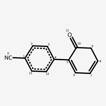 N#Cc1ccc(C2=CC=CCC2=O)cc1